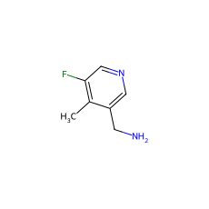 Cc1c(F)cncc1CN